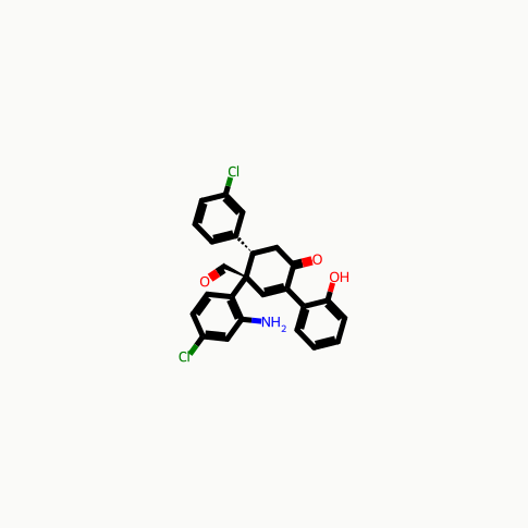 Nc1cc(Cl)ccc1[C@@]1(C=O)C=C(c2ccccc2O)C(=O)C[C@H]1c1cccc(Cl)c1